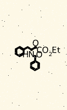 CCOC(=O)C(=O)C(Cc1ccccc1)NC(=O)c1ccccc1